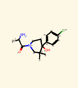 CC(C)C(N)C(=O)N1CCC(O)(c2ccc(Cl)cc2)C(C)(C)C1